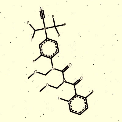 COCN(C(=O)c1c(F)cccc1F)C(=O)N(COC)c1ccc(S(C#N)(C(F)F)C(F)(F)F)cc1F